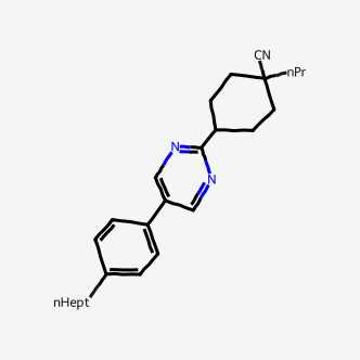 CCCCCCCc1ccc(-c2cnc(C3CCC(C#N)(CCC)CC3)nc2)cc1